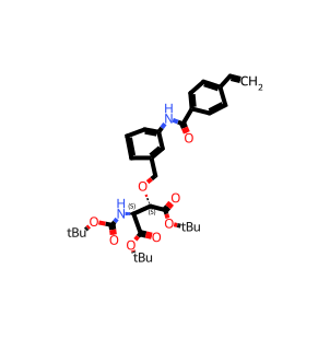 C=Cc1ccc(C(=O)Nc2cccc(CO[C@H](C(=O)OC(C)(C)C)[C@H](NC(=O)OC(C)(C)C)C(=O)OC(C)(C)C)c2)cc1